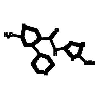 COc1nnc(NC(=O)c2cnc(C)cc2-c2ccncc2)s1